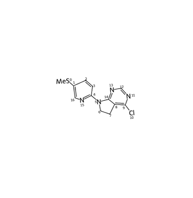 CSc1ccc(N2CCc3c(Cl)ncnc32)nc1